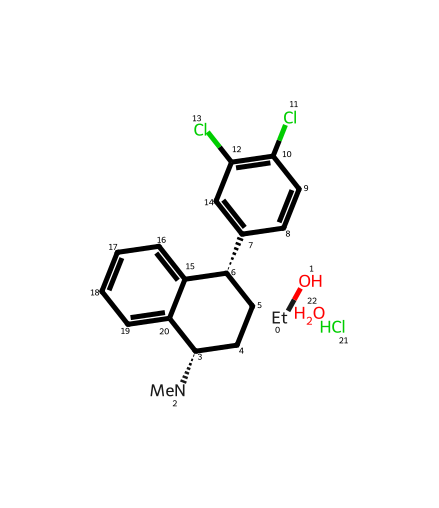 CCO.CN[C@H]1CC[C@@H](c2ccc(Cl)c(Cl)c2)c2ccccc21.Cl.O